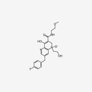 COCCNC(=O)C1=C(O)c2ncc(Cc3ccc(F)cc3)cc2[N+]([O-])(CCO)C1